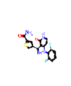 N=C(c1csc(C(N)=O)c1)c1c(Nc2c(F)cccc2F)cc[nH]c1=O